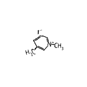 Cc1ccc[n+](C)c1.[I-]